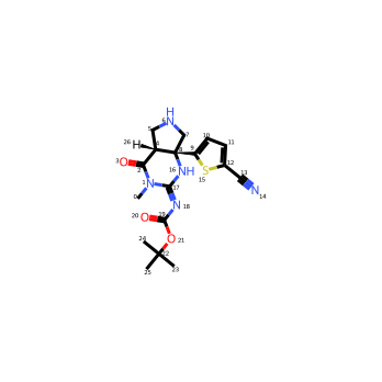 CN1C(=O)[C@@H]2CNC[C@]2(c2ccc(C#N)s2)N/C1=N/C(=O)OC(C)(C)C